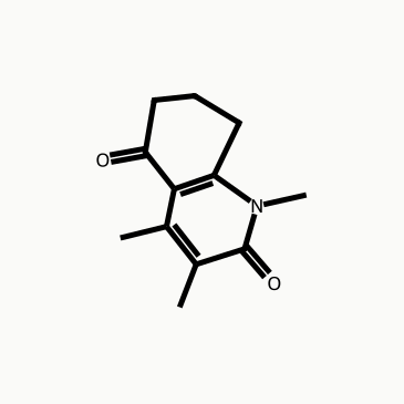 Cc1c2c(n(C)c(=O)c1C)CCCC2=O